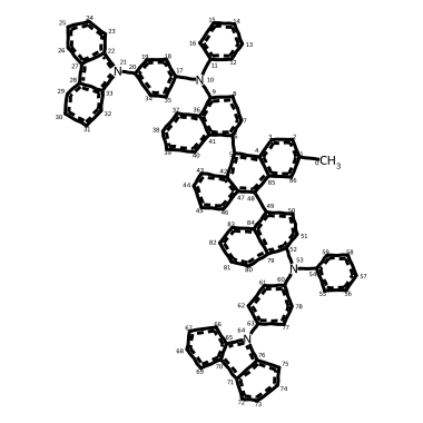 Cc1ccc2c(-c3ccc(N(c4ccccc4)c4ccc(-n5c6ccccc6c6ccccc65)cc4)c4ccccc34)c3ccccc3c(-c3ccc(N(c4ccccc4)c4ccc(-n5c6ccccc6c6ccccc65)cc4)c4ccccc34)c2c1